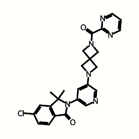 CC1(C)c2cc(Cl)ccc2C(=O)N1c1cncc(N2CC3(CN(C(=O)c4ncccn4)C3)C2)c1